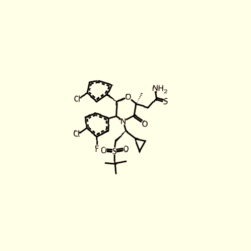 CC(C)(C)S(=O)(=O)C[C@H](C1CC1)N1C(=O)[C@](C)(CC(N)=S)O[C@H](c2cccc(Cl)c2)C1c1ccc(Cl)c(F)c1